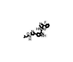 CC(C)CC(=O)Nc1cncc(-c2ccc3[nH]nc(-c4nc5c(-c6c(F)cccc6F)cncc5[nH]4)c3c2)c1